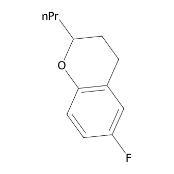 CCCC1CCc2cc(F)ccc2O1